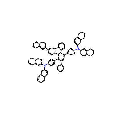 C1=Cc2cc(N(C3=CC=C(c4cc(-c5ccccc5)c(-c5ccc(N(c6ccc7c(c6)C=CCC7)c6ccc7ccccc7c6)cc5)c5c4-c4ccccc4C4C=C(c6ccc7ccccc7c6)C=CC54)CC3)c3ccc4c(c3)C=CCC4)ccc2CC1